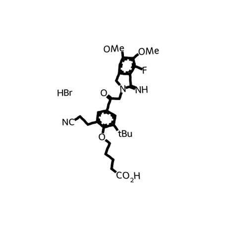 Br.COc1cc2c(c(F)c1OC)C(=N)N(CC(=O)c1cc(CCC#N)c(OCCCCC(=O)O)c(C(C)(C)C)c1)C2